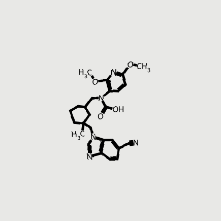 COc1ccc(N(CC2CCCC(C)(Cn3cnc4ccc(C#N)cc43)C2)C(=O)O)c(OC)n1